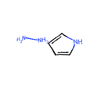 NN.c1cc[nH]c1